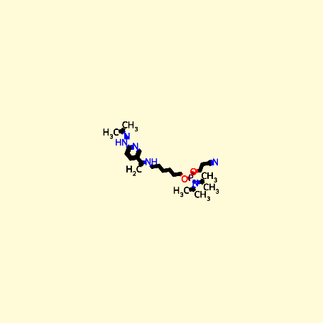 C=C(NCCCCCCOP(OCCC#N)N(C(C)C)C(C)C)c1ccc(NN=C(C)C)nc1